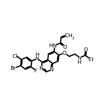 C=CC(=O)Nc1cc2c(Nc3cc(Cl)c(Br)cc3F)ncnc2cc1OCCNC(=O)CC